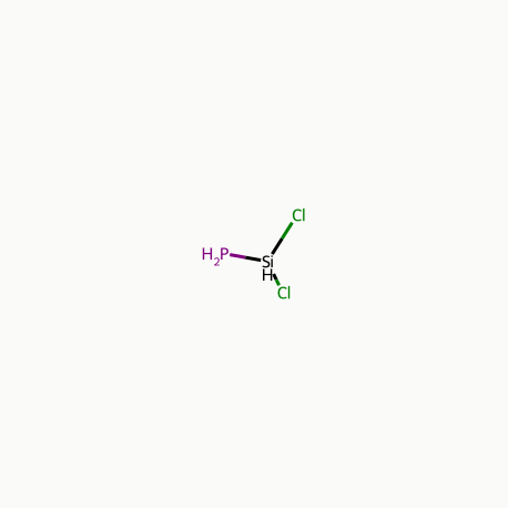 P[SiH](Cl)Cl